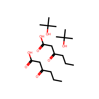 CC(C)(C)O.CC(C)(C)O.CCCC(=O)CC(=O)O.CCCC(=O)CC(=O)O